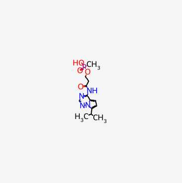 CC(C)c1ccc2c(NC(=O)CCOP(C)(=O)O)ncnn12